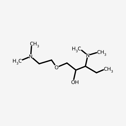 CCC(C(O)COCCN(C)C)N(C)C